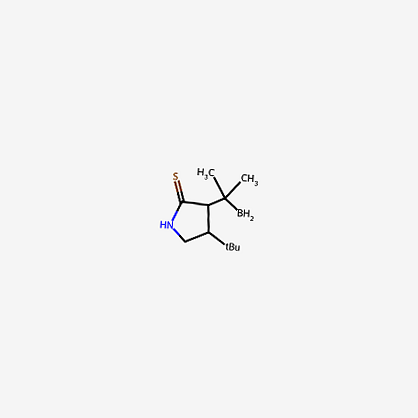 BC(C)(C)C1C(=S)NCC1C(C)(C)C